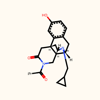 CC(C)C(=O)N1C[C@H]2[C@H]3Cc4ccc(O)cc4[C@@]2(CCN3CC2CC2)CC1=O